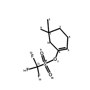 CC1(C)CCC=C(OS(=O)(=O)C(F)(F)F)C1